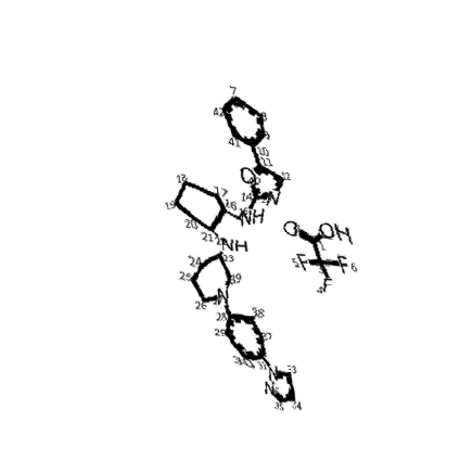 O=C(O)C(F)(F)F.c1ccc(-c2cnc(N[C@@H]3CCCC[C@H]3N[C@H]3CCCN(c4ccc(-n5cccn5)cc4)C3)o2)cc1